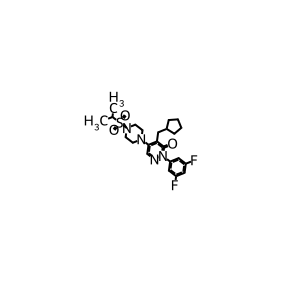 CC(C)S(=O)(=O)N1CCN(c2cnn(-c3cc(F)cc(F)c3)c(=O)c2CC2CCCC2)CC1